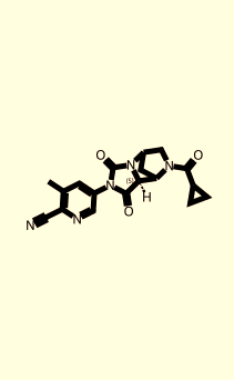 Cc1cc(N2C(=O)[C@@H]3C4CC(CN4C(=O)C4CC4)N3C2=O)cnc1C#N